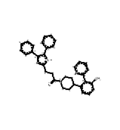 Cc1cccc(C2CCN(C(=O)CCc3nc(-c4ccccc4)c(-c4ccccc4)o3)CC2)c1-c1ccccn1